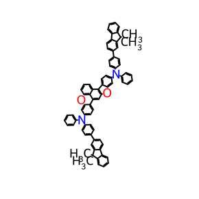 CC1(C)c2ccccc2-c2ccc(-c3ccc(N(c4ccccc4)c4ccc5c(c4)Oc4cccc6c4c-5cc4oc5cc(N(c7ccccc7)c7ccc(-c8ccc9c(c8)C(C)(C)c8ccccc8-9)cc7)ccc5c46)cc3)cc21